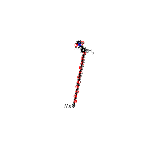 COCCOCCOCCOCCOCCOCCOCCOCCOCCOCCOCCOc1ccc(CC(C(C)=O)N2C(=O)C=CC2=O)cc1C